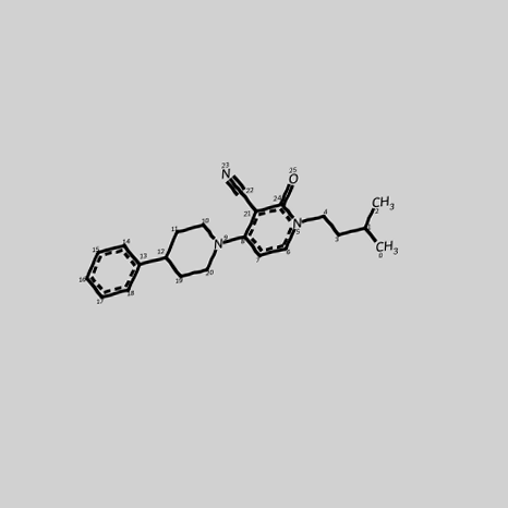 CC(C)CCn1ccc(N2CCC(c3ccccc3)CC2)c(C#N)c1=O